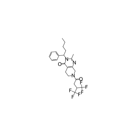 CCCCC(c1ccccc1)n1c(C)nc2c(c1=O)CCN(C(=O)CC(C(F)(F)F)C(F)(F)F)C2